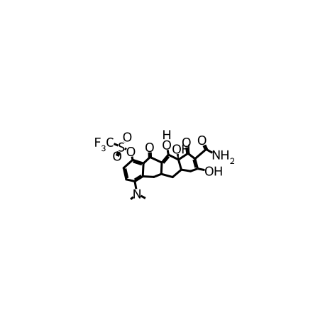 CN(C)c1ccc(OS(=O)(=O)C(F)(F)F)c2c1CC1CC3CC(O)=C(C(N)=O)C(=O)[C@@]3(O)C(O)=C1C2=O